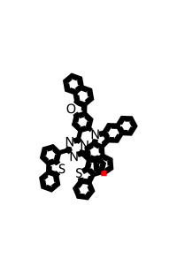 c1ccc2cc3c(cc2c1)c1c2ccccc2ccc1n3-c1cc2c(cc1-c1nc(-c3cccc4c3sc3ccccc34)nc(-c3cccc4c3sc3ccccc34)n1)oc1c3ccccc3ccc21